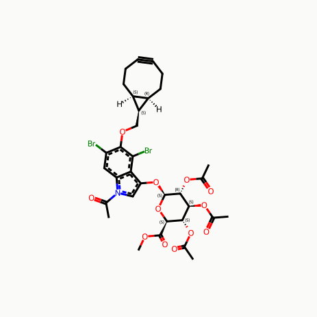 COC(=O)[C@H]1O[C@@H](Oc2cn(C(C)=O)c3cc(Br)c(OC[C@@H]4[C@@H]5CCC#CCC[C@@H]54)c(Br)c23)[C@H](OC(C)=O)[C@@H](OC(C)=O)[C@@H]1OC(C)=O